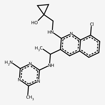 Cc1nc(N)nc(NC(C)c2cc3cccc(Cl)c3nc2NCC2(O)CC2)n1